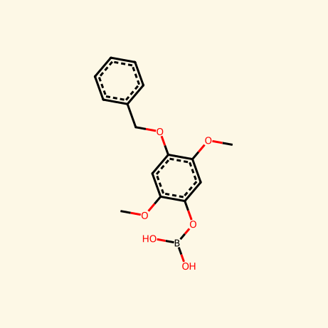 COc1cc(OB(O)O)c(OC)cc1OCc1ccccc1